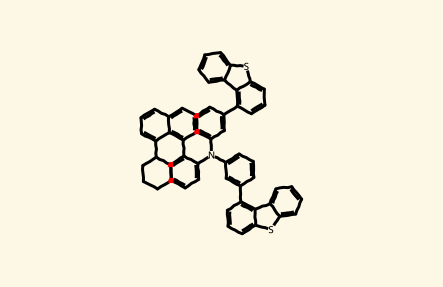 c1cc(-c2cccc3sc4ccccc4c23)cc(N(c2cccc(-c3cccc4sc5ccccc5c34)c2)c2ccccc2-c2cccc3cccc(C4CCCCC4)c23)c1